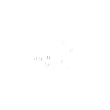 Cc1cccc(F)c1-c1ncc(F)c2ccc(C(=O)N=C(N)N)cc12